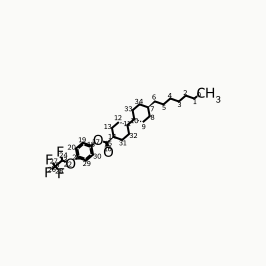 CCCCCCC[C@H]1CC[C@H]([C@H]2CC[C@H](C(=O)Oc3ccc(OC(F)C(F)(F)F)cc3)CC2)CC1